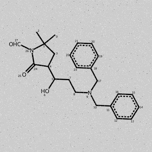 CC1(C)CC(C(O)CCN(Cc2ccccc2)Cc2ccccc2)C(=O)N1C=O